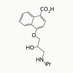 CC(C)NCC(O)COc1ccc(C(=O)O)c2ccccc12